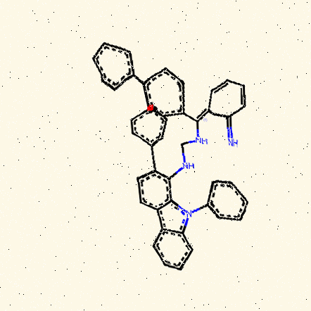 N=C1C=CC=C/C1=C(/NCNc1c(-c2ccccc2)ccc2c3ccccc3n(-c3ccccc3)c12)c1ccc(-c2ccccc2)cc1